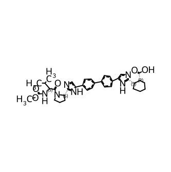 COC(=O)N[C@H](C(=O)N1CCC[C@H]1c1ncc(-c2ccc(-c3ccc(-c4cnc([C@H]5CCCC[C@H]5C(=O)O)[nH]4)cc3)cc2)[nH]1)C(C)C